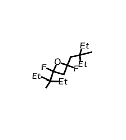 CCC(C)(CC)CC1(F)CC(F)(C(C)(CC)CC)O1